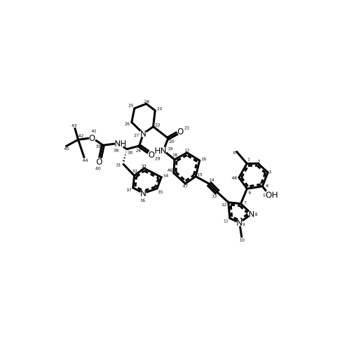 Cc1ccc(O)c(-c2nn(C)cc2C#Cc2ccc(NC(=O)C3CCCCN3C(=O)[C@H](Cc3cccnc3)NC(=O)OC(C)(C)C)cc2)c1